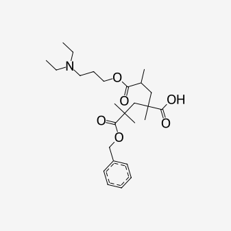 CCN(CC)CCCOC(=O)C(C)CC(C)(CC(C)(C)C(=O)OCc1ccccc1)C(=O)O